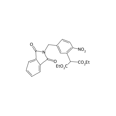 CCOC(=O)C(C(=O)OCC)c1cc(CN2C(=O)c3ccccc3C2=O)ccc1[N+](=O)[O-]